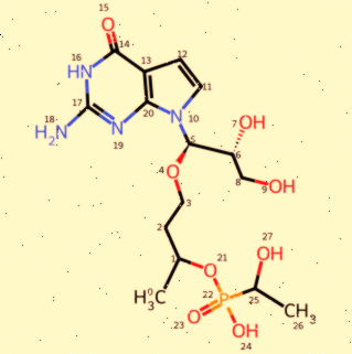 CC(CCO[C@H]([C@H](O)CO)n1ccc2c(=O)[nH]c(N)nc21)OP(=O)(O)C(C)O